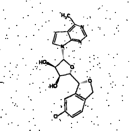 Cc1ncnc2c1ccn2[C@@H]1O[C@H]([C@@H]2OCc3ccc(Cl)cc32)[C@@H](O)[C@H]1O